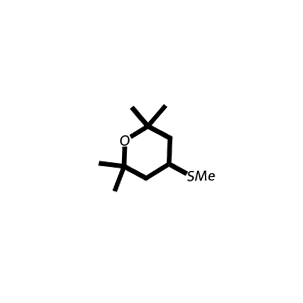 CSC1CC(C)(C)OC(C)(C)C1